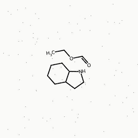 C1CCC2NCCC2C1.CCOC=O